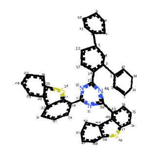 C1=CC(c2cc(-c3ccccc3)ccc2-c2nc(-c3cccc4c3sc3ccccc34)nc(-c3cccc4sc5ccccc5c34)n2)=CCC1